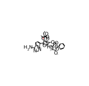 CCC(=O)O[C@H]1[C@H](c2ccc3c(N)ncnn23)O[C@]2(C)C(OP(=O)(N[C@@H](C)C(=O)OC)Oc3ccccc3)[C@]12OC(=O)CC